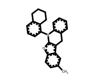 Cc1ccc2oc3c(c2c1)Cc1ccccc1N3c1cccc2c1CCCC2